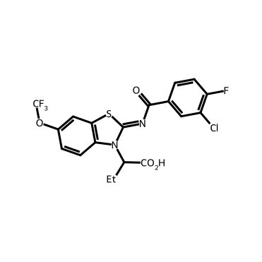 CCC(C(=O)O)n1c(=NC(=O)c2ccc(F)c(Cl)c2)sc2cc(OC(F)(F)F)ccc21